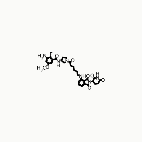 COc1cc(N)c(F)c(C(=O)N[C@@H]2CCN(C(=O)CCCCCNc3cccc4c3C(=O)N(C3CCC(=O)NC3=O)C4=O)C2)c1